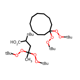 CC(C)(C)OOC1(OOC(C)(C)C)CCCCCCCCC1.CCCCC(CC(C)(OOC(C)(C)C)OOC(C)(C)C)C(=O)O